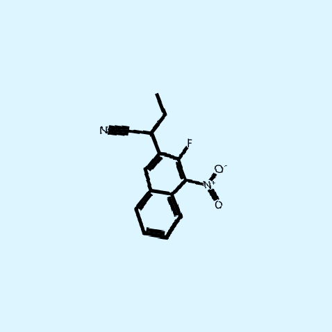 CCC(C#N)c1cc2ccccc2c([N+](=O)[O-])c1F